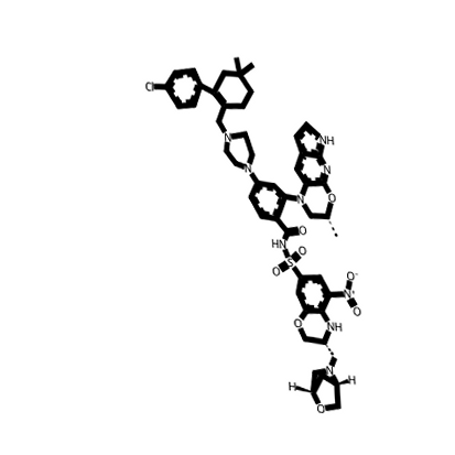 C[C@@H]1CN(c2cc(N3CCN(CC4=C(c5ccc(Cl)cc5)CC(C)(C)CC4)CC3)ccc2C(=O)NS(=O)(=O)c2cc3c(c([N+](=O)[O-])c2)N[C@H](CN2C[C@@H]4C[C@H]2CO4)CO3)c2cc3cc[nH]c3nc2O1